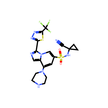 N#CC1(NS(=O)(=O)c2cc(N3CCNCC3)c3cnc(-c4nnc(C(F)(F)F)s4)n3c2)CC1